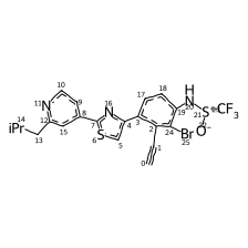 C#Cc1c(-c2csc(-c3ccnc(CC(C)C)c3)n2)ccc(N[S+]([O-])C(F)(F)F)c1Br